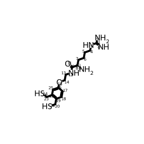 N=C(N)NCCCC[C@H](N)C(=O)NCCOc1ccc(CS)c(CS)c1